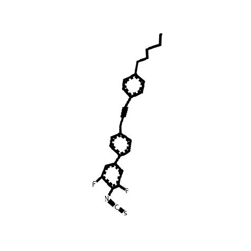 CCCCCc1ccc(C#Cc2ccc(-c3cc(F)c(N=C=S)c(F)c3)cc2)cc1